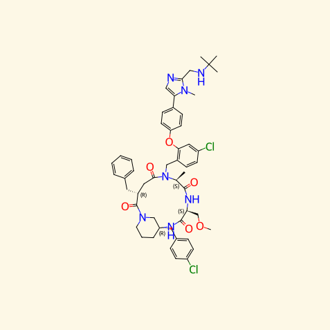 COC[C@@H]1NC(=O)[C@H](C)N(Cc2ccc(Cl)cc2Oc2ccc(-c3cnc(CNC(C)(C)C)n3C)cc2)C(=O)C[C@@H](Cc2ccccc2)C(=O)N2CCC[C@@](Cc3ccc(Cl)cc3)(C2)NC1=O